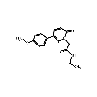 CCNC(=O)Cn1nc(-c2ccc(SC)nc2)ccc1=O